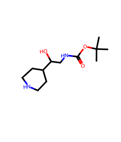 CC(C)(C)OC(=O)NCC(O)C1CCNCC1